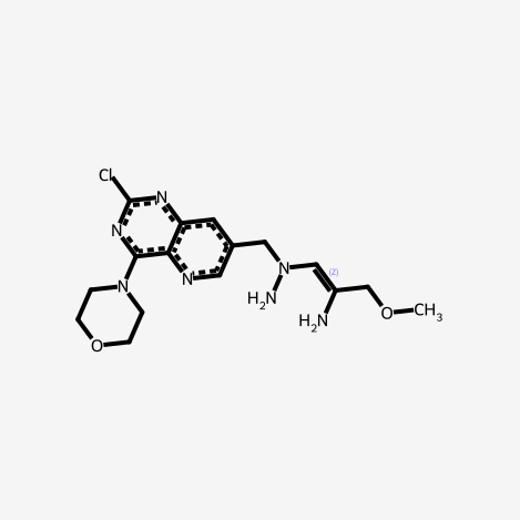 COC/C(N)=C/N(N)Cc1cnc2c(N3CCOCC3)nc(Cl)nc2c1